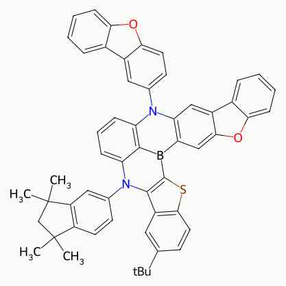 CC(C)(C)c1ccc2sc3c(c2c1)N(c1ccc2c(c1)C(C)(C)CC2(C)C)c1cccc2c1B3c1cc3oc4ccccc4c3cc1N2c1ccc2oc3ccccc3c2c1